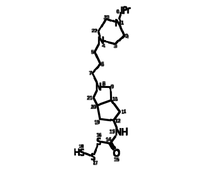 CC(C)N1CCN(CCCN2CC3CC(NC(=O)SSS)CC3C2)CC1